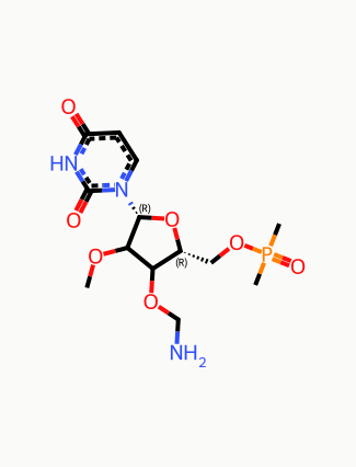 COC1C(OCN)[C@@H](COP(C)(C)=O)O[C@H]1n1ccc(=O)[nH]c1=O